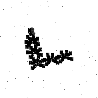 N#[C][Fe-3]([C]#N)([C]#N)([C]#N)([C]#N)[C]#N.N#[C][Fe-3]([C]#N)([C]#N)([C]#N)([C]#N)[C]#N.N#[C][Fe-3]([C]#N)([C]#N)([C]#N)([C]#N)[C]#N.N#[C][Fe-3]([C]#N)([C]#N)([C]#N)([C]#N)[C]#N.N#[C][Fe-3]([C]#N)([C]#N)([C]#N)([C]#N)[C]#N.[V+5].[V+5].[V+5]